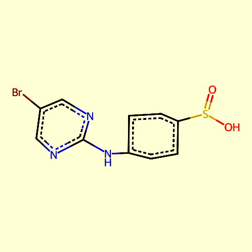 O=S(O)c1ccc(Nc2ncc(Br)cn2)cc1